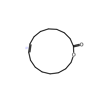 O=C1CCCCCC/C=C\CCCCCCCO1